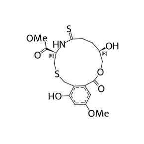 COC(=O)[C@@H]1CSCc2c(O)cc(OC)cc2C(=O)OC[C@H](O)CCC(=S)N1